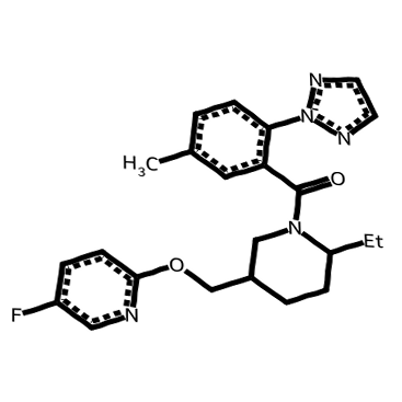 CCC1CCC(COc2ccc(F)cn2)CN1C(=O)c1cc(C)ccc1-n1nccn1